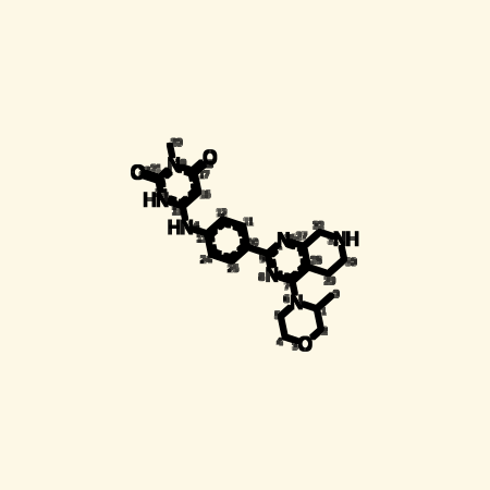 CC1COCCN1c1nc(-c2ccc(Nc3cc(=O)n(C)c(=O)[nH]3)cc2)nc2c1CCNC2